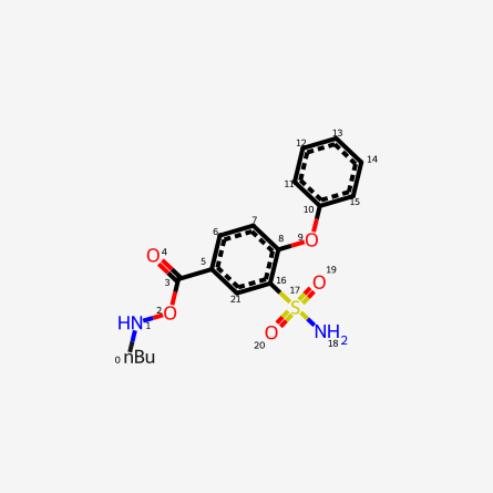 CCCCNOC(=O)c1ccc(Oc2ccccc2)c(S(N)(=O)=O)c1